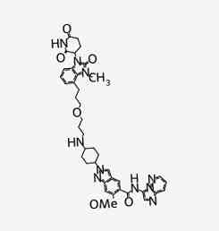 COc1cc2nn(C3CCC(NCCCOCCCc4cccc5c4n(C)c(=O)n5C4CCC(=O)NC4=O)CC3)cc2cc1C(=O)Nc1cnc2cccnn12